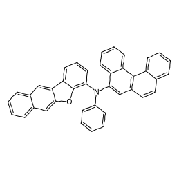 c1ccc(N(c2cc3ccc4ccccc4c3c3ccccc23)c2cccc3c2oc2cc4ccccc4cc23)cc1